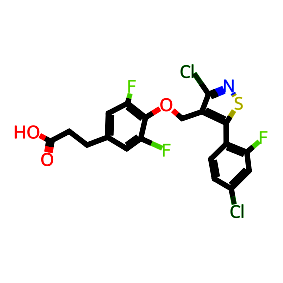 O=C(O)CCc1cc(F)c(OCc2c(Cl)nsc2-c2ccc(Cl)cc2F)c(F)c1